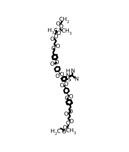 C=CC(=O)OCC(C)OC(C)COC(=O)CCC(=O)OCCc1ccc(OC(=O)[C@H]2CC[C@H](C(=O)Oc3ccc(OC(=O)[C@H]4CC[C@H](C(=O)Oc5ccc(CCOC(=O)CCC(=O)OCC(C)OC(=O)C=C)cc5)CC4)c4c3NC(=C(C#N)C#N)S4)CC2)cc1